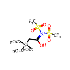 CCCCCCC[CH2][Sb]([CH2]CCCCCCC)([CH2]CCCCCCC)[CH2]C(O)=[N+](S(=O)(=O)C(F)(F)F)S(=O)(=O)C(F)(F)F